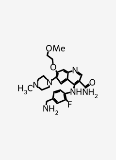 COCCOc1cc2ncc(C(N)=O)c(Nc3ccc(CN)cc3F)c2cc1N1CCN(C)CC1